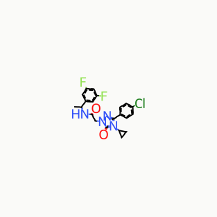 CC(NC(=O)Cn1nc(-c2ccc(Cl)cc2)n(C2CC2)c1=O)c1cc(F)cc(F)c1